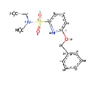 CCN(C)S(=O)(=O)c1cccc(OCc2ccccc2)n1